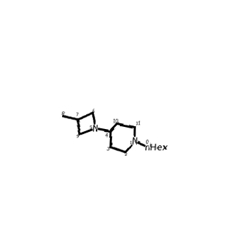 CCCCCCN1CCC(N2CC(C)C2)CC1